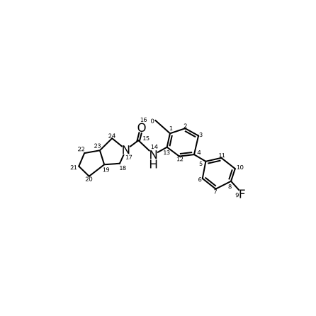 Cc1ccc(-c2ccc(F)cc2)cc1NC(=O)N1CC2CCCC2C1